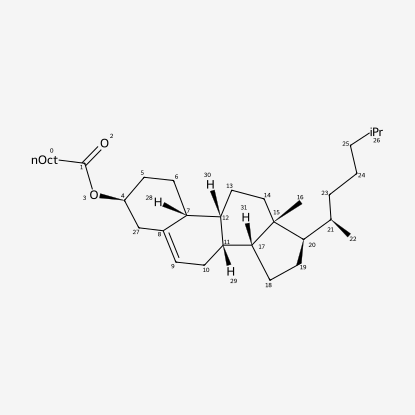 CCCCCCCCC(=O)O[C@H]1CC[C@H]2C(=CC[C@@H]3[C@H]2CC[C@@]2(C)[C@@H]3CC[C@@H]2[C@H](C)CCCC(C)C)C1